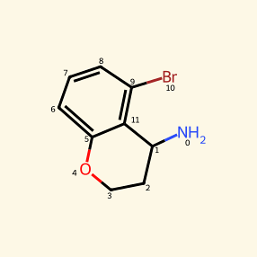 NC1CCOc2cccc(Br)c21